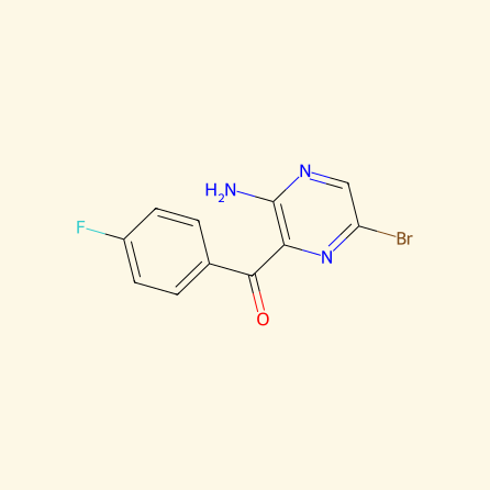 Nc1ncc(Br)nc1C(=O)c1ccc(F)cc1